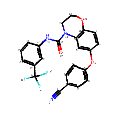 N#Cc1ccc(Oc2ccc3c(c2)N(C(=O)Nc2cccc(C(F)(F)F)c2)CCO3)cc1